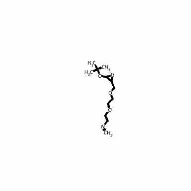 C=NCCOCCOCC1OC1OC(C)(C)C